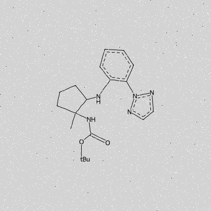 CC(C)(C)OC(=O)NC1(C)CCCC1Nc1ccccc1-n1nccn1